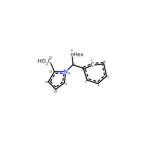 CCCCCCC(c1ccccc1)n1cccc1C(=O)O